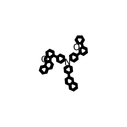 c1ccc2cc(-c3ccc(N(c4ccc(-c5cccc6c5oc5ccccc56)cc4)c4ccc(-c5cccc6oc7c8ccccc8ccc7c56)cc4)cc3)ccc2c1